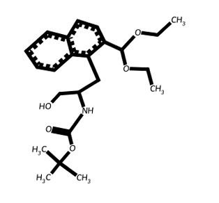 CCOC(OCC)c1ccc2ccccc2c1CC(CO)NC(=O)OC(C)(C)C